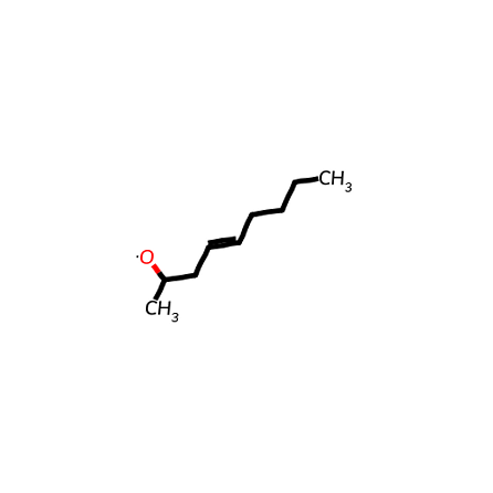 CCCC/C=C/CC(C)[O]